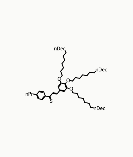 CCCCCCCCCCCCCCCCCOc1cc(C=CC(=S)c2ccc(CCC)cc2)cc(OCCCCCCCCCCCCCCCCC)c1OCCCCCCCCCCCCCCCCC